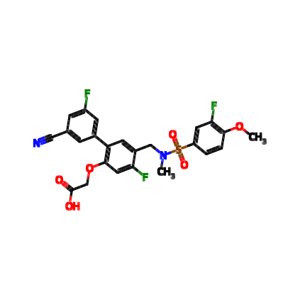 COc1ccc(S(=O)(=O)N(C)Cc2cc(-c3cc(F)cc(C#N)c3)c(OCC(=O)O)cc2F)cc1F